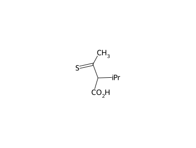 CC(=S)C(C(=O)O)C(C)C